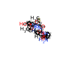 COC(=O)C12CC3CC(CC(N)(C3)C1C(=O)[C@H](Cc1ccccc1)NC(=O)CNC(=O)[C@@H](CCSC)NC(=O)[C@H](Cc1ccc(O)cc1)NC(=O)OC(C)(C)C)C2